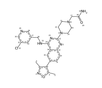 Cc1noc(C)c1-c1ccc2nc(N3CCN(CC(N)=O)CC3)nc(NCc3cncc(Cl)c3)c2c1